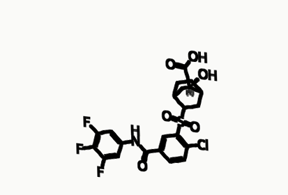 O=C(Nc1cc(F)c(F)c(F)c1)c1ccc(Cl)c(S(=O)(=O)C2CC3CCC2C[C@]3(O)C(=O)O)c1